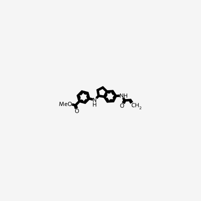 C=CC(=O)Nc1ccc2c(c1)CCC2Nc1cccc(C(=O)OC)c1